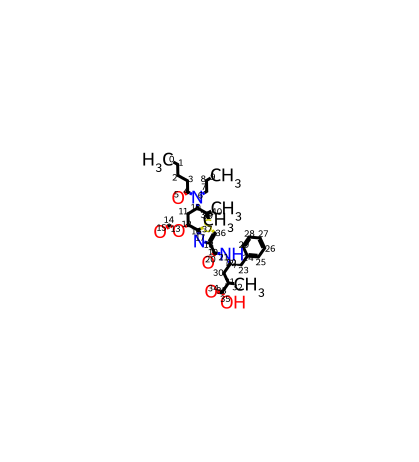 CCCCC(=O)N(CCC)C(CC(OC=O)c1nc(C(=O)N[C@@H](Cc2ccccc2)CC(C)C(=O)O)cs1)C(C)C